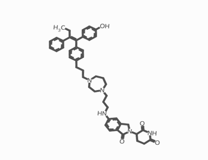 CCC(=C(c1ccc(O)cc1)c1ccc(CCCN2CCCN(CCCNc3ccc4c(c3)CN(C3CCC(=O)NC3=O)C4=O)CC2)cc1)c1ccccc1